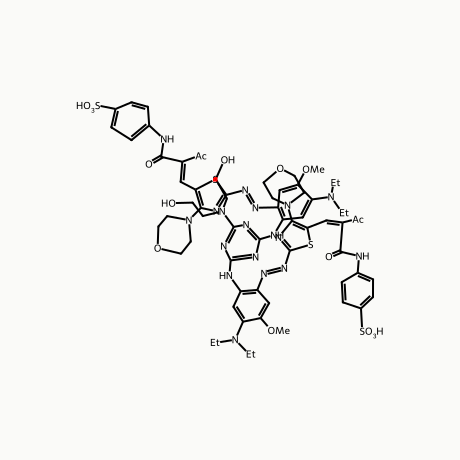 CCN(CC)c1cc(Nc2nc(Nc3cc(N(CC)CC)c(OC)cc3/N=N/c3nc(N4CCOCC4)c(/C=C(\C(C)=O)C(=O)Nc4ccc(S(=O)(=O)O)cc4)s3)nc(N(CCO)CCO)n2)c(/N=N/c2nc(N3CCOCC3)c(C=C(C(C)=O)C(=O)Nc3ccc(S(=O)(=O)O)cc3)s2)cc1OC